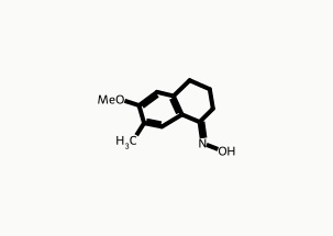 COc1cc2c(cc1C)/C(=N/O)CCC2